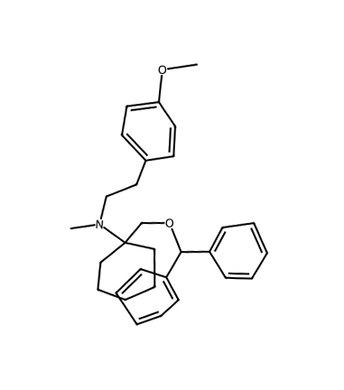 COc1ccc(CCN(C)C2(COC(c3ccccc3)c3ccccc3)CCCCC2)cc1